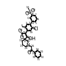 Cc1cc(-c2cccc(S(C)(=O)=O)c2)c(Cl)cc1C1=C(O)C2(CCCN(CC(=O)c3ccccc3)C2)OC1=O